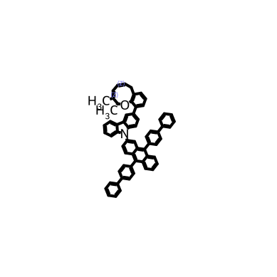 C/C1=C/C=C\Cc2cccc(-c3ccc4c(c3)c3ccccc3n4-c3ccc4c(-c5ccc(-c6ccccc6)cc5)c5ccccc5c(-c5ccc(-c6ccccc6)cc5)c4c3)c2OC1C